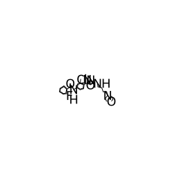 O=C(Nc1ccc(-c2nnc(NCCCCN3CCOCC3)o2)c(Cl)c1)c1ccccc1F